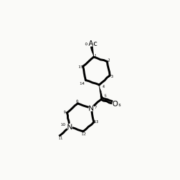 CC(=O)[C@H]1CC[C@@H](C(=O)N2CCN(C)CC2)CC1